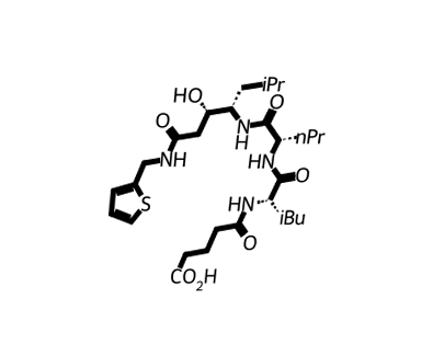 CCC[C@H](NC(=O)[C@@H](NC(=O)CCCC(=O)O)[C@@H](C)CC)C(=O)N[C@@H](CC(C)C)[C@@H](O)CC(=O)NCc1cccs1